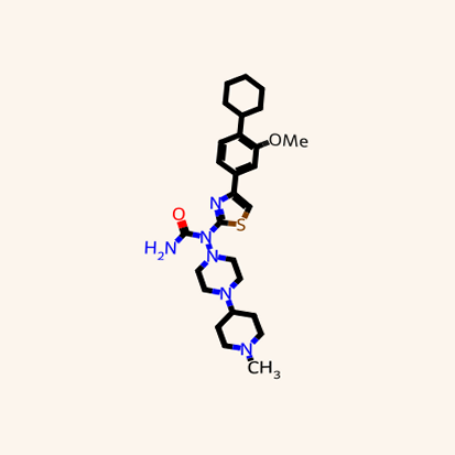 COc1cc(-c2csc(N(C(N)=O)N3CCN(C4CCN(C)CC4)CC3)n2)ccc1C1CCCCC1